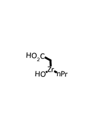 CC[CH2][Zr]([OH])[CH2]C(=O)O